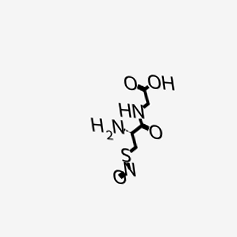 N[C@@H](CSN=O)C(=O)NCC(=O)O